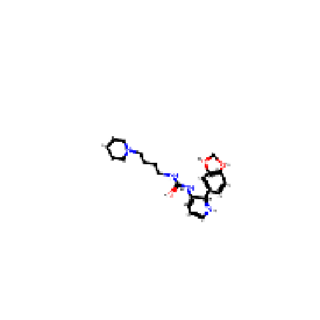 O=C(NCCCCN1CCCCC1)Nc1cccnc1-c1ccc2c(c1)OCO2